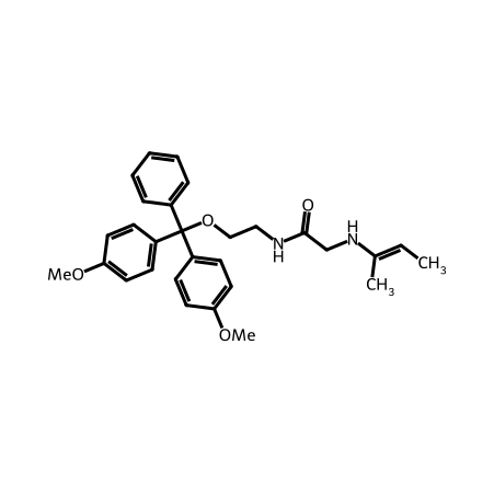 C/C=C(\C)NCC(=O)NCCOC(c1ccccc1)(c1ccc(OC)cc1)c1ccc(OC)cc1